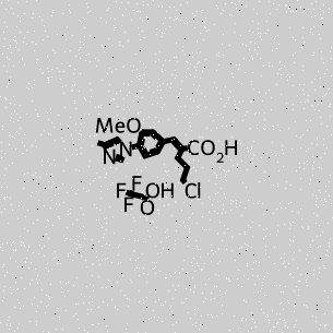 COc1cc(C=C(CCCCl)C(=O)O)ccc1-n1cnc(C)c1.O=C(O)C(F)(F)F